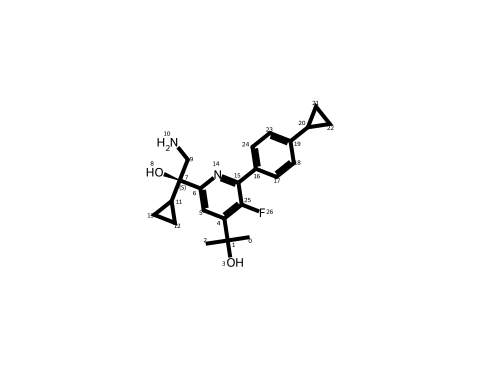 CC(C)(O)c1cc([C@@](O)(CN)C2CC2)nc(-c2ccc(C3CC3)cc2)c1F